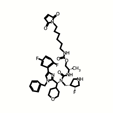 C[C@@H](COC(=O)NCCCCCCN1C(=O)C=CC1=O)NC(=O)N(C[C@@H]1CNC[C@@H]1F)[C@@H](c1nc(-c2cc(F)ccc2F)cn1Cc1ccccc1)C1CCOCC1